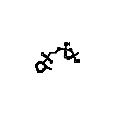 Cc1ccccc1S(=O)(=O)CCOP(=O)(O)OP(C)(=O)O